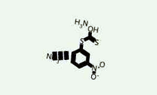 C=C.C=C.C=C.N.N.O=[N+]([O-])c1cccc(SC(O)=S)c1